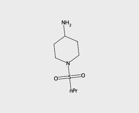 CCCS(=O)(=O)N1CCC(N)CC1